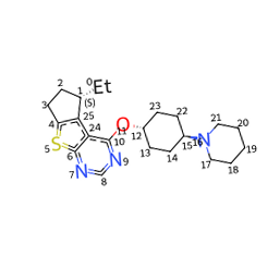 CC[C@H]1CCc2sc3ncnc(O[C@H]4CC[C@H](N5CCCCC5)CC4)c3c21